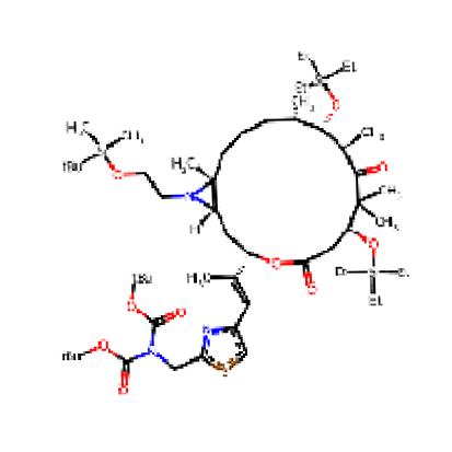 CC[Si](CC)(CC)O[C@H]1[C@@H](C)CCC[C@]2(C)[C@H](C[C@@H](/C(C)=C/c3csc(CN(C(=O)OC(C)(C)C)C(=O)OC(C)(C)C)n3)OC(=O)C[C@H](O[Si](CC)(CC)CC)C(C)(C)C(=O)[C@@H]1C)N2CCO[Si](C)(C)C(C)(C)C